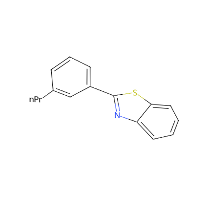 CCCc1cccc(-c2nc3ccccc3s2)c1